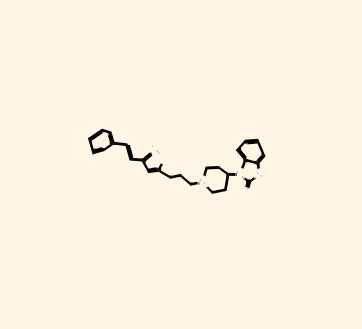 O=c1[nH]c2ccccc2n1C1CCN(CCCc2cc(C=Cc3ccccc3)no2)CC1